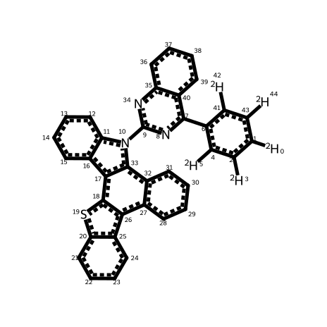 [2H]c1c([2H])c([2H])c(-c2nc(-n3c4ccccc4c4c5sc6ccccc6c5c5ccccc5c43)nc3ccccc23)c([2H])c1[2H]